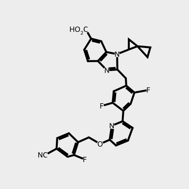 N#Cc1ccc(COc2cccc(-c3cc(F)c(Cc4nc5ccc(C(=O)O)cc5n4C4CC45CC5)cc3F)n2)c(F)c1